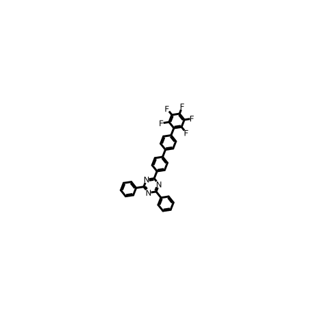 Fc1c(F)c(F)c(-c2ccc(-c3ccc(-c4nc(-c5ccccc5)nc(-c5ccccc5)n4)cc3)cc2)c(F)c1F